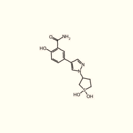 NC(=O)c1cc(-c2cnn(C3CCS(O)(O)C3)c2)ccc1O